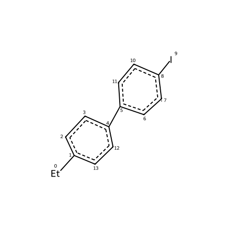 CCc1ccc(-c2c[c]c(I)cc2)cc1